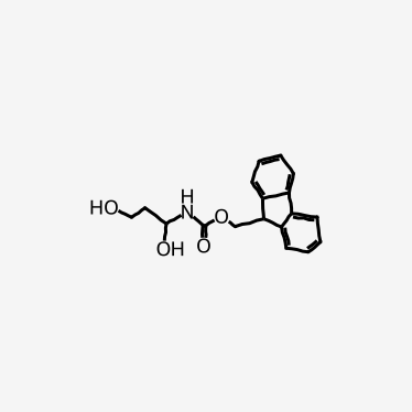 O=C(NC(O)CCO)OCC1c2ccccc2-c2ccccc21